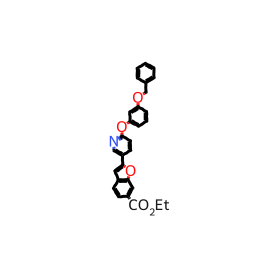 CCOC(=O)c1ccc2cc(-c3ccc(Oc4cccc(OCc5ccccc5)c4)nc3)oc2c1